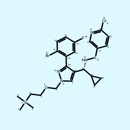 C[Si](C)(C)CCOCn1cc([C@H](NSc2ccc(C(F)(F)F)nc2)C2CC2)c(-c2cc(F)ccc2Br)n1